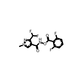 Cn1cc(C(=O)NOC(=O)c2c(F)cccc2F)c(C(F)F)n1